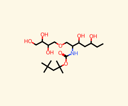 CCC(O)CC(O)C(COCC(O)C(O)CO)NC(=O)OC(C)(C)CC(C)(C)C